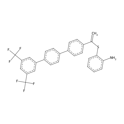 C=C(Sc1ccccc1N)c1ccc(-c2ccc(-c3cc(C(F)(F)F)cc(C(F)(F)F)c3)cc2)cc1